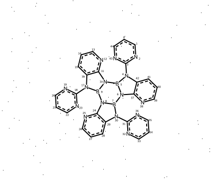 c1cnc(N2B3N(B4N(B5N3c3ncccc3N5c3ncccn3)c3ncccc3N4c3ncccn3)c3ncccc32)nc1